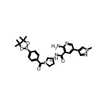 Cn1cc(-c2cnc(N)c(C(=O)N[C@@H]3CCN(C(=O)c4ccc(B5OC(C)(C)C(C)(C)O5)cc4)C3)c2)cn1